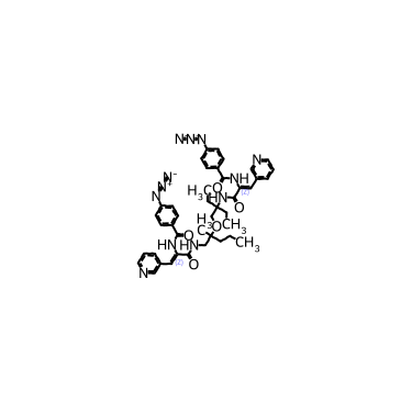 CCCC(C)(CNC(=O)/C(=C/c1cccnc1)NC(=O)c1ccc(N=[N+]=[N-])cc1)OCC(CC)(CC)NC(=O)/C(=C/c1cccnc1)NC(=O)c1ccc(N=[N+]=[N-])cc1